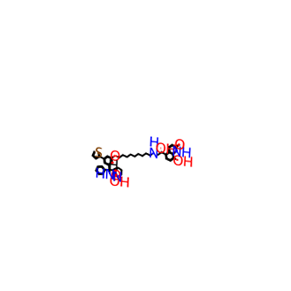 O=C(O)NC(c1ccccc1)(c1cc(OCCCCCCCCCNC[C@H](O)c2ccc(O)c3[nH]c(=O)ccc23)cc(-c2cccs2)c1)[C@H]1CN2CCC1CC2